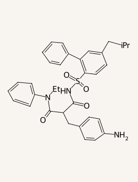 CCN(C(=O)C(Cc1ccc(N)cc1)C(=O)NS(=O)(=O)c1ccc(CC(C)C)cc1-c1ccccc1)c1ccccc1